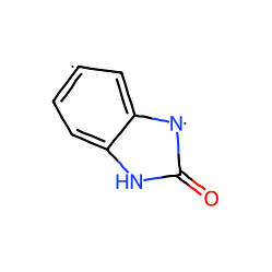 O=C1[N]c2c[c]ccc2N1